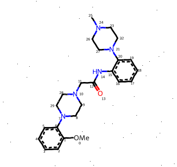 COc1ccccc1N1CCN(CC(=O)Nc2ccccc2N2CCN(C)CC2)CC1